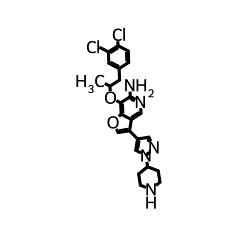 CC(Cc1ccc(Cl)c(Cl)c1)Oc1c(N)ncc2c(-c3cnn(C4CCNCC4)c3)coc12